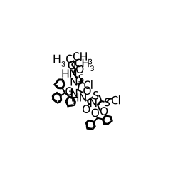 CC(C)(C)OC(=O)Nc1nc(C(=NOC(c2ccccc2)(c2ccccc2)c2ccccc2)C(=O)NC2C(=O)N3C(C(=O)OC(c4ccccc4)c4ccccc4)=C(SCCl)CSC23)c(Cl)s1